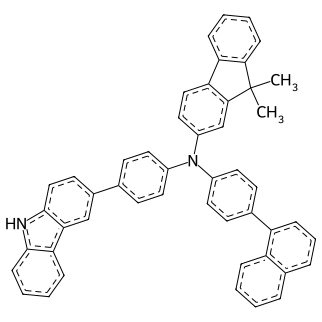 CC1(C)c2ccccc2-c2ccc(N(c3ccc(-c4ccc5[nH]c6ccccc6c5c4)cc3)c3ccc(-c4cccc5ccccc45)cc3)cc21